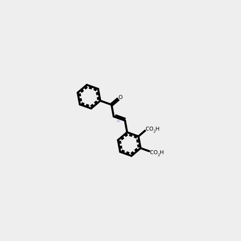 O=C(/C=C/c1cccc(C(=O)O)c1C(=O)O)c1ccccc1